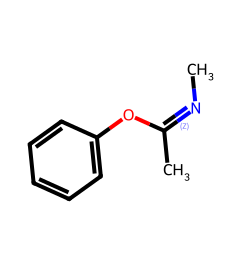 C/N=C(/C)Oc1ccccc1